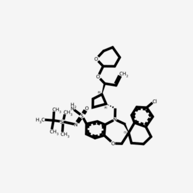 C=CC(OC1CCCCO1)[C@@H]1CC[C@H]1CN1C[C@@]2(CCCc3cc(Cl)ccc32)COc2ccc(S(N)(=O)=N[Si](C)(C)C(C)(C)C)cc21